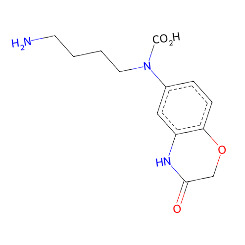 NCCCCN(C(=O)O)c1ccc2c(c1)NC(=O)CO2